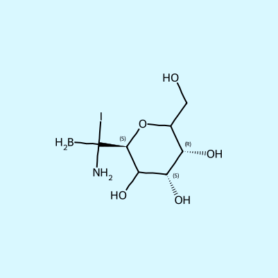 BC(N)(I)[C@H]1OC(CO)[C@H](O)[C@H](O)C1O